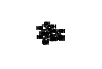 O=P(OP(CO)(CO)(CO)CO)(OP(CO)(CO)(CO)CO)OP(CO)(CO)(CO)CO